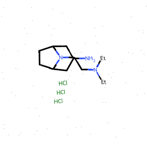 CCN(CC)CCN1C2CCC1CC(N)C2.Cl.Cl.Cl